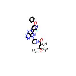 CCOC(C)(C)C=C(C#N)C(=O)N1CCCC(n2nc(-c3ccc(Oc4ccccc4)nc3F)c3c(N)ncnc32)C1